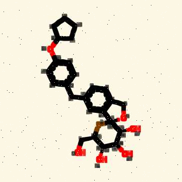 OC[C@H]1S[C@]2(OCc3ccc(Cc4ccc(OC5CCCC5)cc4)cc32)[C@H](O)[C@@H](O)[C@@H]1O